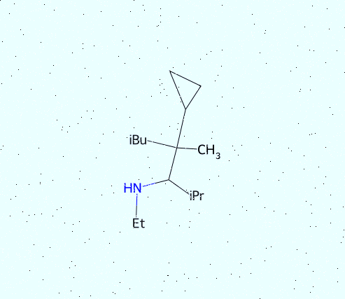 CCNC(C(C)C)C(C)(C(C)CC)C1CC1